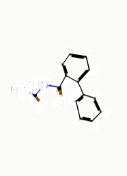 NC(=S)NC(=S)c1ccccc1-c1ccccc1